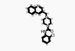 O=C(Nc1ccccc1Cl)N1CCN(Cc2cnc3ccccc3c2)CC1